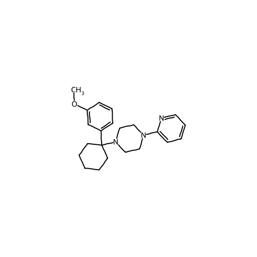 COc1cccc(C2(N3CCN(c4ccccn4)CC3)CCCCC2)c1